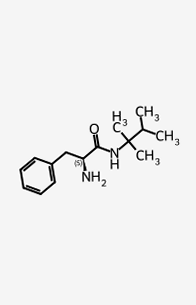 CC(C)C(C)(C)NC(=O)[C@@H](N)Cc1ccccc1